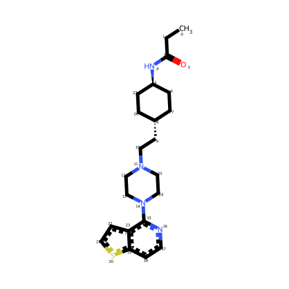 CCC(=O)N[C@H]1CC[C@H](CCN2CCN(c3nccc4sccc34)CC2)CC1